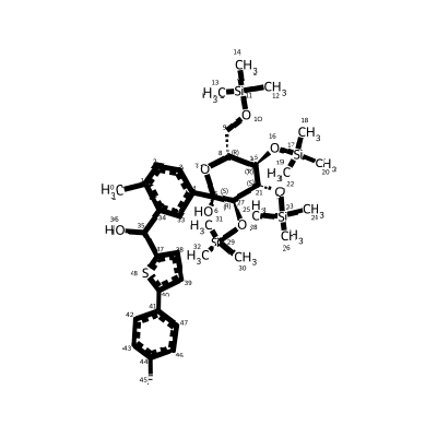 Cc1ccc([C@]2(O)O[C@H](CO[Si](C)(C)C)[C@@H](O[Si](C)(C)C)[C@H](O[Si](C)(C)C)[C@H]2O[Si](C)(C)C)cc1C(O)c1ccc(-c2ccc(F)cc2)s1